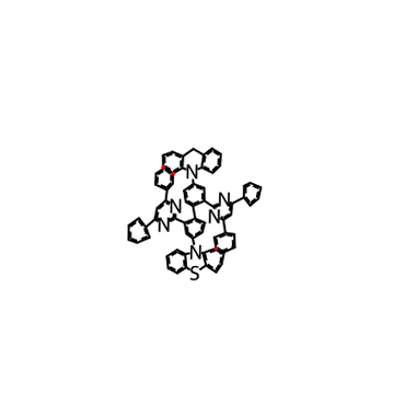 c1ccc(-c2cc(-c3ccccc3)nc(-c3cc(N4c5ccccc5Cc5ccccc54)ccc3-c3ccc(N4c5ccccc5Sc5ccccc54)cc3-c3nc(-c4ccccc4)cc(-c4ccccc4)n3)n2)cc1